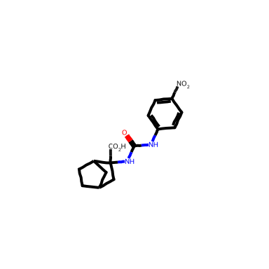 O=C(Nc1ccc([N+](=O)[O-])cc1)NC1(C(=O)O)CC2CCC1C2